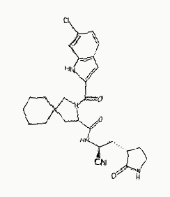 N#C[C@H](C[C@@H]1CCNC1=O)NC(=O)C1CC2(CCCCC2)CN1C(=O)c1cc2ccc(Cl)cc2[nH]1